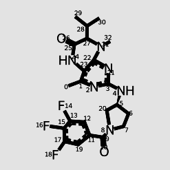 Cc1nc(N[C@H]2CCN(C(=O)c3cc(F)c(F)c(F)c3)C2)nc2c1NC(=O)C(C(C)C)N2C